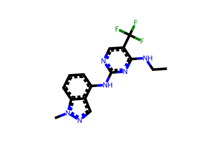 CCNc1nc(Nc2cccc3c2cnn3C)ncc1C(F)(F)F